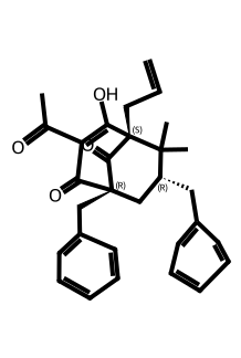 C=CC[C@]12C(=O)[C@](Cc3ccccc3)(C[C@@H](Cc3ccccc3)C1(C)C)C(=O)C(C(C)=O)=C2O